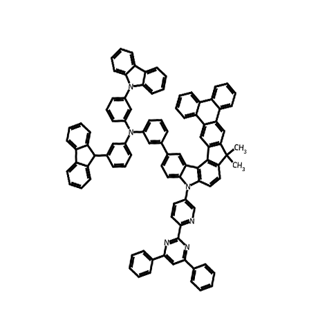 CC1(C)c2cc3c4ccccc4c4ccccc4c3cc2-c2c1ccc1c2c2cc(-c3cccc(N(c4cccc(C5c6ccccc6-c6ccccc65)c4)c4cccc(-n5c6ccccc6c6ccccc65)c4)c3)ccc2n1-c1ccc(-c2nc(-c3ccccc3)cc(-c3ccccc3)n2)nc1